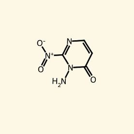 Nn1c([N+](=O)[O-])nccc1=O